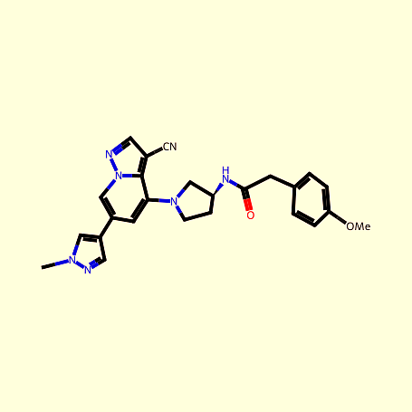 COc1ccc(CC(=O)N[C@H]2CCN(c3cc(-c4cnn(C)c4)cn4ncc(C#N)c34)C2)cc1